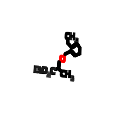 C=Cc1ccccc1COC=C(C)C(=O)OCC